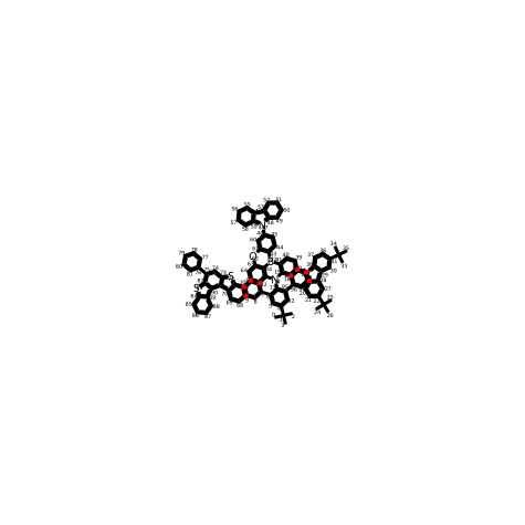 CC(C)(C)c1cc(-c2ccccc2)c(N2c3cc(-n4c5ccc(C(C)(C)C)cc5c5cc(C(C)(C)C)ccc54)ccc3B3c4ccc(-n5c6ccccc6c6ccccc65)cc4Oc4cc(-c5cccc6c5sc5cc(-c7ccccc7)c7sc8ccccc8c7c56)cc2c43)c(-c2ccccc2)c1